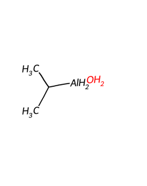 C[CH](C)[AlH2].O